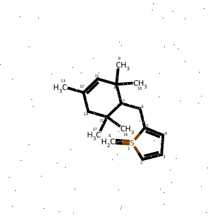 C=S1C=CC=C1CC1C(C)(C)C=C(C)CC1(C)C